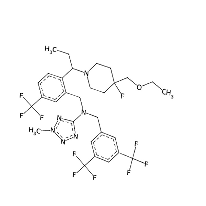 CCOCC1(F)CCN(C(CC)c2ccc(C(F)(F)F)cc2CN(Cc2cc(C(F)(F)F)cc(C(F)(F)F)c2)c2nnn(C)n2)CC1